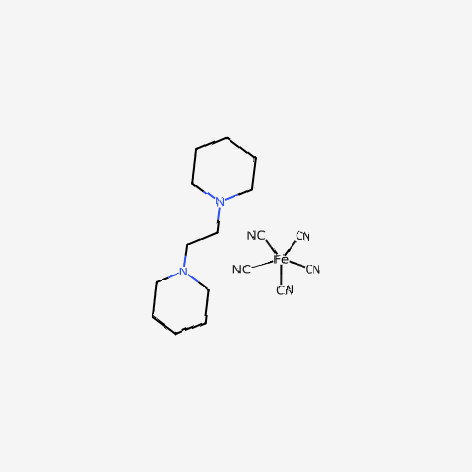 C1CCN(CCN2CCCCC2)CC1.N#[C][Fe]([C]#N)([C]#N)([C]#N)[C]#N